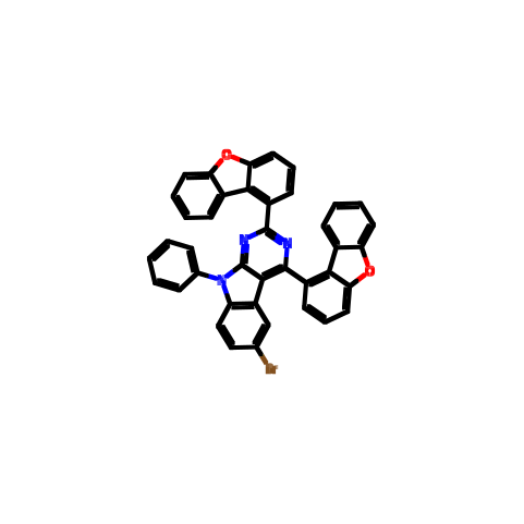 Brc1ccc2c(c1)c1c(-c3cccc4oc5ccccc5c34)nc(-c3cccc4oc5ccccc5c34)nc1n2-c1ccccc1